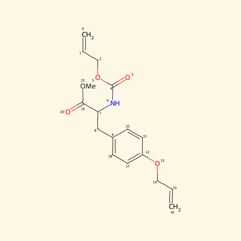 C=CCOC(=O)NC(Cc1ccc(OCC=C)cc1)C(=O)OC